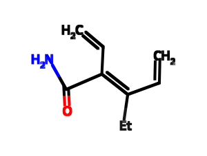 C=CC(CC)=C(C=C)C(N)=O